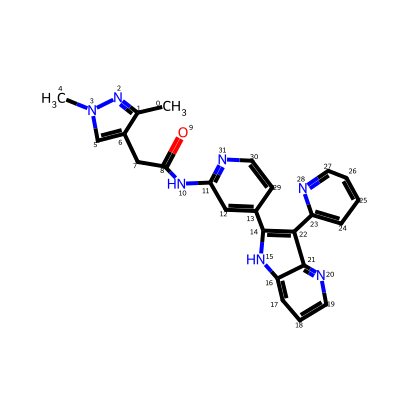 Cc1nn(C)cc1CC(=O)Nc1cc(-c2[nH]c3cccnc3c2-c2ccccn2)ccn1